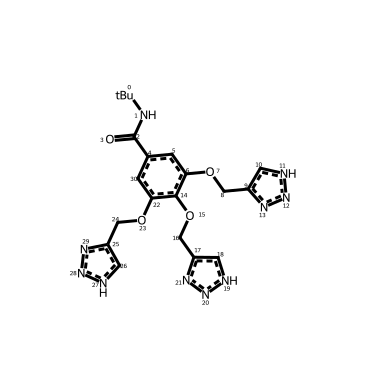 CC(C)(C)NC(=O)c1cc(OCc2c[nH]nn2)c(OCc2c[nH]nn2)c(OCc2c[nH]nn2)c1